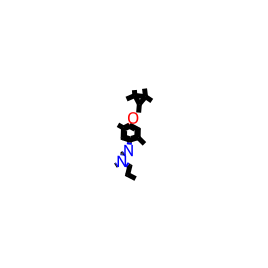 CCCN(C)C=Nc1cc(C)c(OCC2C(C)(C)C2(C)C)cc1C